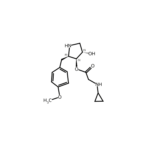 COc1ccc(C[C@H]2NC[C@H](O)[C@H]2OC(=O)CNC2CC2)cc1